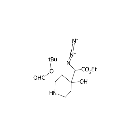 CC(C)(C)OC=O.CCOC(=O)C(N=[N+]=[N-])C1(O)CCNCC1